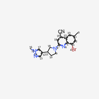 Cc1cc(Br)c2nc(N3CCC(c4cnn(C)c4)C3)cc(C#N)c2c1